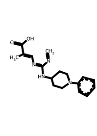 C=N/C(=N\C=C(/C)C(=O)O)NC1CCN(c2ccccc2)CC1